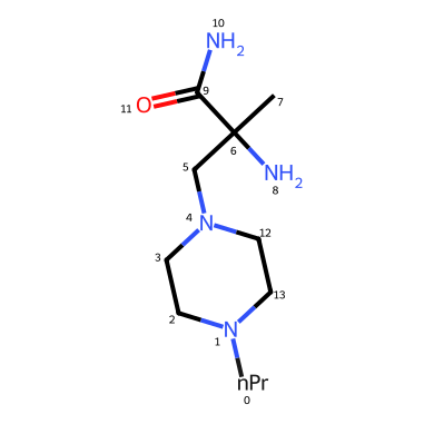 CCCN1CCN(CC(C)(N)C(N)=O)CC1